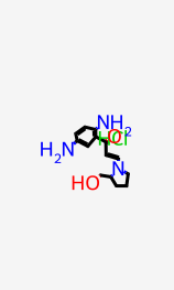 Cl.Nc1ccc(N)c(C(=O)C=CN2CCCC2CO)c1